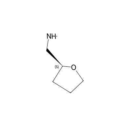 [NH]C[C@@H]1CCCO1